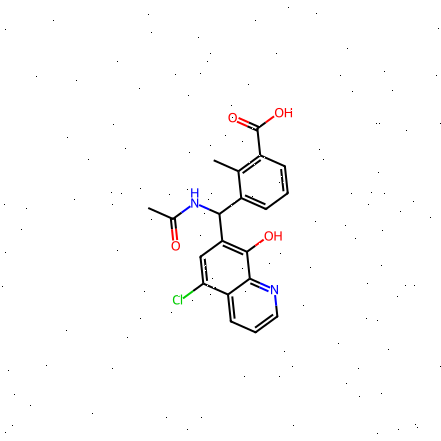 CC(=O)NC(c1cccc(C(=O)O)c1C)c1cc(Cl)c2cccnc2c1O